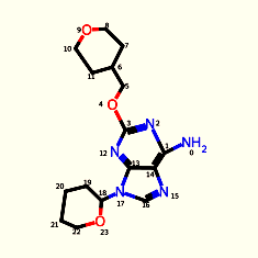 Nc1nc(OCC2CCOCC2)nc2c1ncn2C1CCCCO1